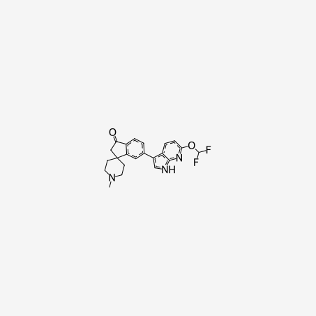 CN1CCC2(CC1)CC(=O)c1ccc(-c3c[nH]c4nc(OC(F)F)ccc34)cc12